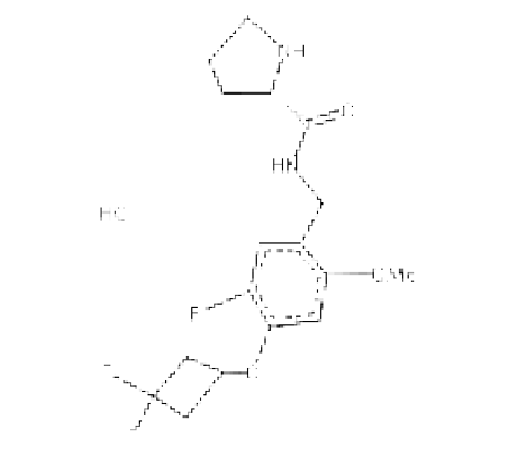 COc1cc(OC2CC(F)(F)C2)c(F)cc1CNC(=O)[C@@H]1CCCN1.Cl